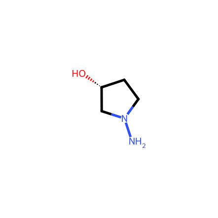 NN1CC[C@@H](O)C1